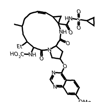 CCC1CC(C)CCC=CC2CC2(C(=O)NS(=O)(=O)C2CC2)NC(=O)C2CC(Oc3ncnc4cc(OC)ccc34)CN2C(=O)C1NC(=O)O